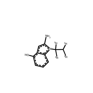 [2H]C([2H])C([2H])([2H])n1c(N)cc2c(O)cccc21